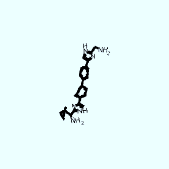 CC1(C(N)c2nc(-c3ccc(-c4ccc(-c5c[nH]c(CN)n5)cc4)cc3)c[nH]2)CC1